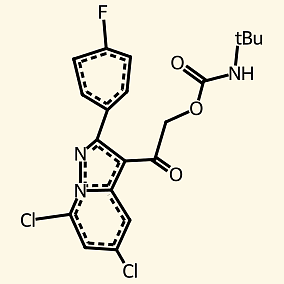 CC(C)(C)NC(=O)OCC(=O)c1c(-c2ccc(F)cc2)nn2c(Cl)cc(Cl)cc12